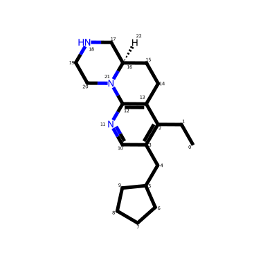 CCc1c(CC2CCCC2)cnc2c1CC[C@@H]1CNCCN21